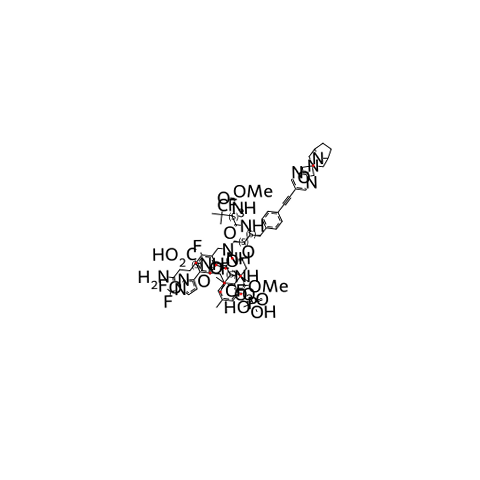 COC(=O)N[C@H](C(=O)N[C@@H](Cc1ccc(C#Cc2cnc(N3CC4CCC(C3)N4C3COC3)nc2)cc1)[C@H](CN(Cc1c(F)cc(-c2ccn(C(F)F)n2)cc1F)NC(=O)[C@@H](NC(=O)OC)C(C)(C)C(F)(F)F)OC(=O)CC(C)(C)c1c(CC(=O)N[C@@H](CCC(N)=O)C(=O)O)cc(C)cc1OP(=O)(O)O)C(C)(C)C(F)(F)F